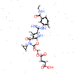 CCNC(=O)c1ccc(C)c(NC(=N)c2[nH]cc(C(=O)N(C(=O)OCOC(=O)/C=C/C(=O)O)C3CC3)c2C)c1